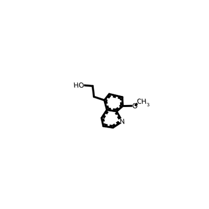 COc1ccc(CCO)c2cccnc12